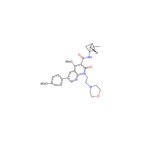 COc1ccc(-c2cnc3c(c2)c(OC)c(C(=O)NC24CC(C2)[C@@H]4C)c(=O)n3CCN2CCOCC2)cc1